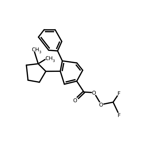 CC1(C)CCCC1c1cc(C(=O)OOC(F)F)ccc1-c1ccccc1